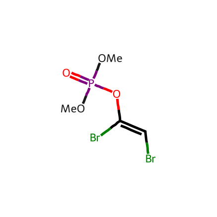 COP(=O)(OC)OC(Br)=CBr